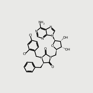 Nc1ncnc2c1ncn2[C@@H]1O[C@H](CN2C(=O)[C@@H](Cc3ccccc3)N(Cc3ccc(Cl)cc3Cl)C2=O)[C@@H](O)[C@H]1O